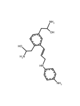 Nc1ccc(NCC=Cc2cc(CC(N)O)ccc2CC(N)O)cc1